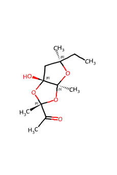 CC[C@]1(C)C[C@@]2(O)O[C@@](C)(C(C)=O)O[C@]2(C)O1